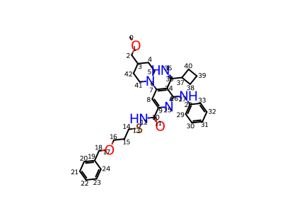 COCC1CCN(c2cc(C(=O)NSCCCOCc3ccccc3)nc(Nc3ccccc3)c2C(=N)C2CCC2)CC1